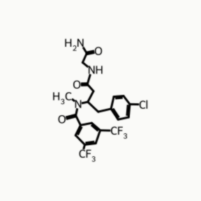 CN(C(=O)c1cc(C(F)(F)F)cc(C(F)(F)F)c1)C(CC(=O)NCC(N)=O)Cc1ccc(Cl)cc1